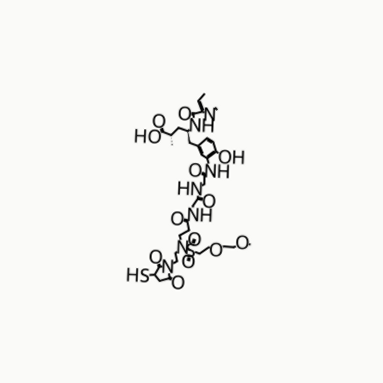 C=N/C(=C\C)C(=O)N[C@@H](Cc1ccc(O)c(NC(=O)CNC(=O)CNC(=O)CCN(CCN2C(=O)CC(S)C2=O)S(=O)(=O)CCOCCOC)c1)C[C@H](C)C(=O)O